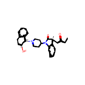 CCC(=O)C[C@]1(C)C(=O)N(C2CCN([C@H]3c4ccccc4CC[C@@H]3O)CC2)c2ccccc21